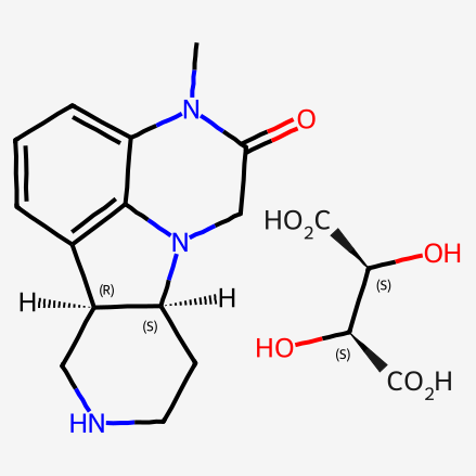 CN1C(=O)CN2c3c(cccc31)[C@@H]1CNCC[C@@H]12.O=C(O)[C@@H](O)[C@H](O)C(=O)O